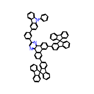 c1ccc(-n2c3ccccc3c3cc(-c4cccc(-c5cnc6c7ccc(-c8ccc9c(c8)C8(c%10ccccc%10-c%10ccccc%108)c8ccccc8-9)cc7c7cc(-c8ccc9c(c8)C8(c%10ccccc%10-c%10ccccc%108)c8ccccc8-9)ccc7c6n5)c4)ccc32)cc1